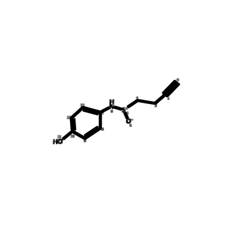 C#CCC[S+]([O-])Nc1ccc(O)cc1